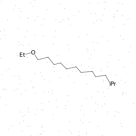 [CH2]COCCCCCCCCCCC(C)C